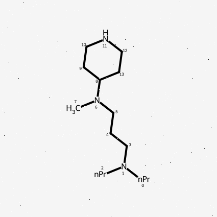 CCCN(CCC)CCCN(C)C1CCNCC1